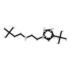 CC(C)(C)CCOCCn1cc(C(C)(C)C)nn1